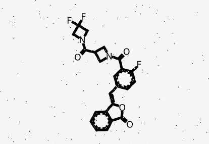 O=C1O/C(=C\c2ccc(F)c(C(=O)N3CC(C(=O)N4CC(F)(F)C4)C3)c2)c2ccccc21